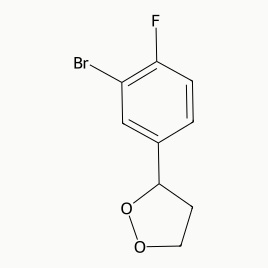 Fc1ccc(C2CCOO2)cc1Br